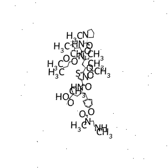 CC[C@H](C)[C@H](NC(=O)[C@H]1CCCCN1C)C(=O)N(COC(=O)CC(C)C)[C@H](C[C@@H](OC(C)=O)c1nc(C(=O)N[C@@H](Cc2ccc(OC(=O)N(C)CCNC)cc2)C[C@H](C)C(=O)O)cs1)C(C)C